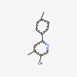 Cc1ccc(-c2cc(C)c(C#N)cn2)cc1